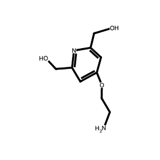 NCCOc1cc(CO)nc(CO)c1